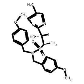 COc1ccc(CN(Cc2ccc(OC)cc2)S(=O)(=O)[C@H](C)[C@](O)(I)c2ncc(C)cn2)cc1